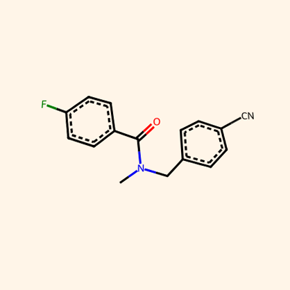 CN(Cc1ccc(C#N)cc1)C(=O)c1ccc(F)cc1